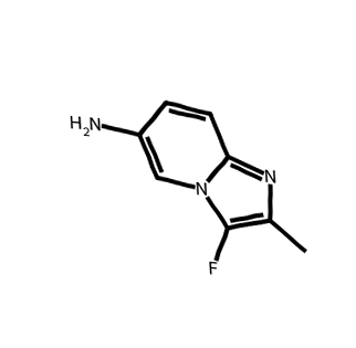 Cc1nc2ccc(N)cn2c1F